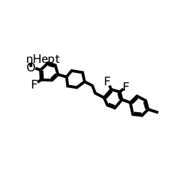 CCCCCCCOc1ccc(C2CCC(CCc3ccc(-c4ccc(C)cc4)c(F)c3F)CC2)cc1F